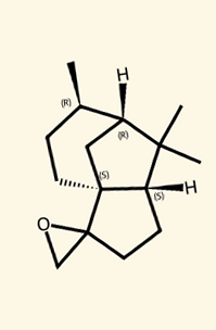 C[C@@H]1CC[C@]23C[C@H]1C(C)(C)[C@@H]2CCC31CO1